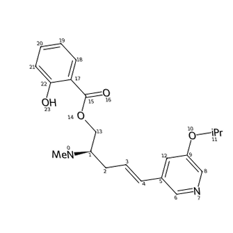 CN[C@H](C/C=C/c1cncc(OC(C)C)c1)COC(=O)c1ccccc1O